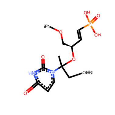 COCC(C)(O[C@H](/C=C/P(=O)(O)O)COC(C)C)n1ccc(=O)[nH]c1=O